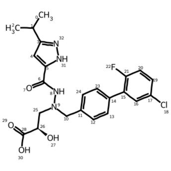 CC(C)c1cc(C(=O)NN(Cc2ccc(-c3cc(Cl)ccc3F)cc2)C[C@@H](O)C(=O)O)[nH]n1